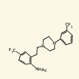 CC(=O)Nc1ccc(C(F)(F)F)cc1CCN1CCN(c2cccc(C(F)(F)F)c2)CC1